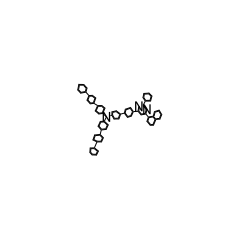 c1ccc(-c2ccc(-c3ccc(N(c4ccc(-c5ccc(-c6ccccc6)cc5)cc4)c4ccc(-c5ccc(-c6cc(-c7cccc8ccccc78)nc(-c7ccccc7)n6)cc5)cc4)cc3)cc2)cc1